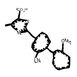 COc1ccccc1-c1ccc(-c2nc(C)c(C(=O)O)s2)cc1C#N